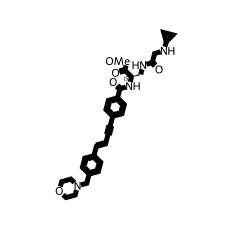 COC(=O)[C@H](CNC(=O)CNC1CC1)NC(=O)c1ccc(C#CC=Cc2ccc(CN3CCOCC3)cc2)cc1